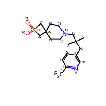 CC(C)(Cc1ccc(C(F)(F)F)nc1)CN1CCC2(CC1)CS(=O)(=O)C2